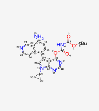 CC(C)(C)OC(=O)NC(=O)Oc1ncnc2c1c(-c1ccc(N)c3cnccc13)cn2C1CC1